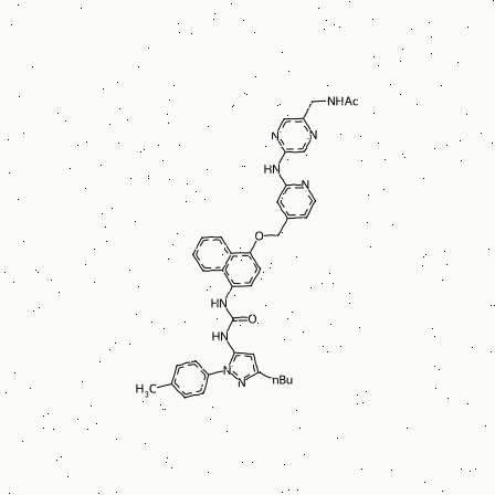 CCCCc1cc(NC(=O)Nc2ccc(OCc3ccnc(Nc4cnc(CNC(C)=O)cn4)c3)c3ccccc23)n(-c2ccc(C)cc2)n1